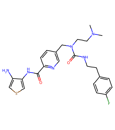 CN(C)CCN(Cc1ccc(C(=O)Nc2cscc2N)nc1)C(=O)NCCc1ccc(F)cc1